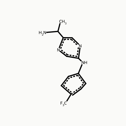 CC(N)c1cnc(Nc2ccc(C(F)(F)F)cc2)cn1